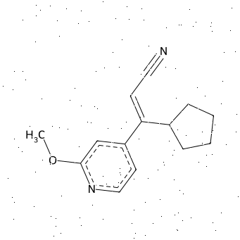 COc1cc(C(=CC#N)C2CCCC2)ccn1